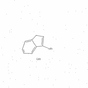 CCCC1=C[CH]c2ccccc21.[LiH]